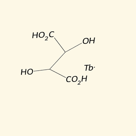 O=C(O)C(O)C(O)C(=O)O.[Tb]